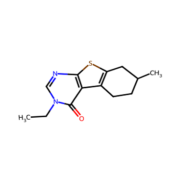 CCn1cnc2sc3c(c2c1=O)CCC(C)C3